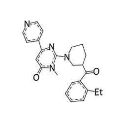 CCc1ccccc1C(=O)C1CCCN(c2nc(-c3ccncc3)cc(=O)n2C)C1